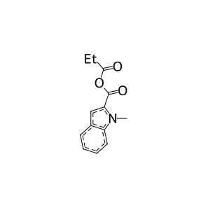 CCC(=O)OC(=O)c1cc2ccccc2n1C